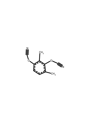 Cc1ccc(OC#N)c(C)c1OC#N